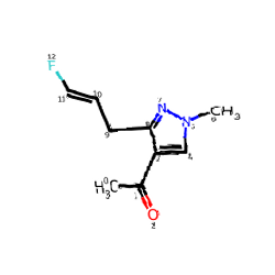 CC(=O)c1cn(C)nc1CC=CF